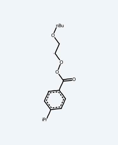 CCCCOC[CH]OOC(=O)c1ccc(C(C)C)cc1